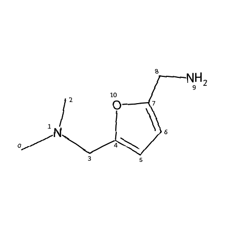 CN(C)Cc1ccc(CN)o1